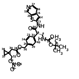 CC(C)(C)OC(=O)NC[C@@H](C(=O)Nc1cc2ccncc2s1)c1ccc(COC(=O)CC2(CO[N+](=O)[O-])CC2)cc1